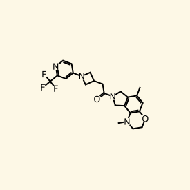 Cc1cc2c(c3c1CN(C(=O)CC1CN(c4ccnc(C(F)(F)F)c4)C1)C3)N(C)CCO2